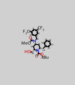 COC(=O)N(Cc1cc(C(F)(F)F)cc(C(F)(F)F)c1)[C@H]1C[C@@H](CO)N(C(=O)OC(C)(C)C)[C@@H](Cc2ccccc2)C1